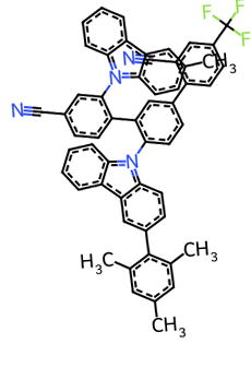 Cc1cc(C)c(-c2ccc3c(c2)c2ccccc2n3-c2ccc(-c3ccc(C(F)(F)F)cc3C#N)cc2-c2ccc(C#N)cc2-n2c3ccccc3c3cc(C)ccc32)c(C)c1